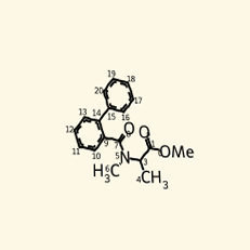 COC(=O)C(C)N(C)C(=O)c1ccccc1-c1ccccc1